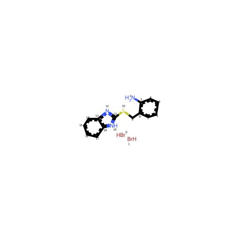 Br.Br.Nc1ccccc1CSc1nc2ccccc2[nH]1